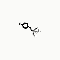 CCO[Si](CCc1ccc(F)cc1)(OCC)OCC